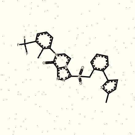 Cc1ccc(-c2ccccc2CS(=O)(=O)c2nnc3c(=O)n(-c4cccc(C(F)(F)F)c4C)ccn23)s1